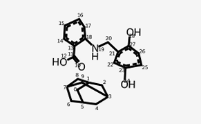 C1C2CC3CC1CC(C2)C3.O=C(O)c1ccccc1NCc1cc(O)ccc1O